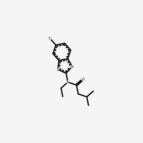 CCN(C(=O)[CH]C(C)C)c1nc2ccc(F)cc2s1